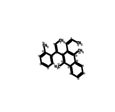 C/C=C\c1c(/C(=C\C)c2ccccc2C)c(C)c2ccccc2c1C